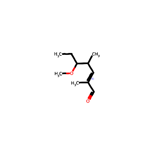 CCC(OC)C(C)/C=C(\C)C=O